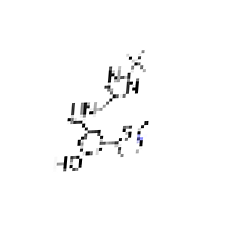 C=C(NCc1cnc(C(C)(C)C)nc1)c1cc(O)cc(C(=C)S/C(C)=C\C)c1